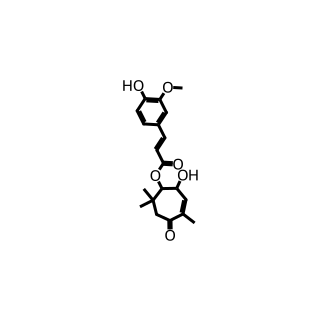 COc1cc(/C=C/C(=O)OC2C(O)C=C(C)C(=O)CC2(C)C)ccc1O